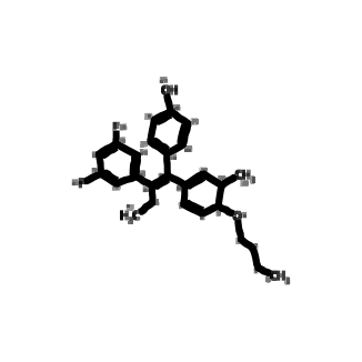 CCCCOC1C=CC(/C(=C(\CC)c2cc(F)cc(F)c2)c2ccc(O)cc2)=CC1C